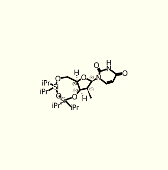 CC(C)[Si]1(C(C)C)OC[C@H]2O[C@@H](n3ccc(=O)[nH]c3=O)[C@@H](C)[C@H]2O[Si](C(C)C)(C(C)C)O1